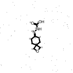 O=C(O)NN=C1CCC2(CC1)COC2